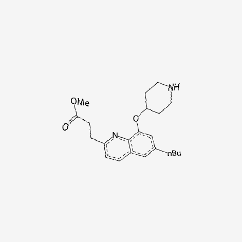 CCCCc1cc(OC2CCNCC2)c2nc(CCC(=O)OC)ccc2c1